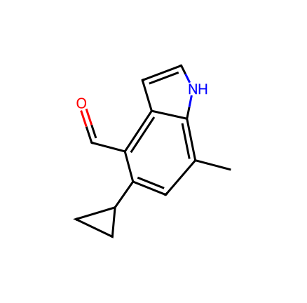 Cc1cc(C2CC2)c(C=O)c2cc[nH]c12